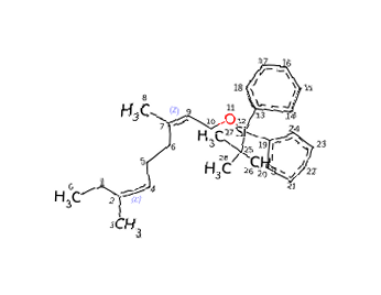 CC/C(C)=C\CC/C(C)=C\CO[Si](c1ccccc1)(c1ccccc1)C(C)(C)C